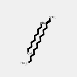 CCCCCCCCC=CCCCCCCCCCCCC(=O)O.CCCCCCCCCCCCCCCCCCO